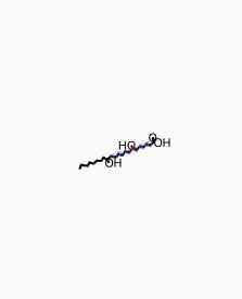 CCCCCCCCC(O)/C=C/C=C/C=C/C(O)=C/C=C/C=C/C(=O)O